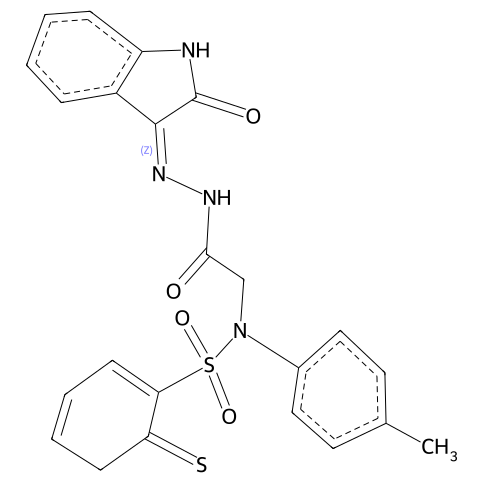 Cc1ccc(N(CC(=O)N/N=C2\C(=O)Nc3ccccc32)S(=O)(=O)C2=CC=CCC2=S)cc1